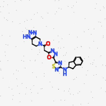 O=C(Cc1nnc(-c2nc(NC3Cc4ccccc4C3)ns2)o1)N1CCc2[nH]nnc2C1